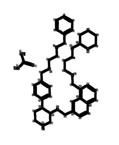 O=C(O)O.c1ccc(COCCOCc2ccc(C3CCNCC3OCc3ccc4cccc(COCCCOC5CCCCO5)c4c3)cc2)cc1